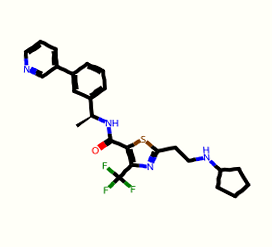 C[C@H](NC(=O)c1sc(CCNC2CCCC2)nc1C(F)(F)F)c1cccc(-c2cccnc2)c1